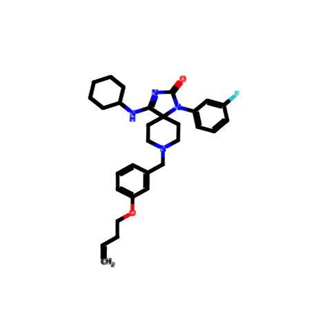 C=CCCOc1cccc(CN2CCC3(CC2)C(NC2CCCCC2)=NC(=O)N3c2cccc(F)c2)c1